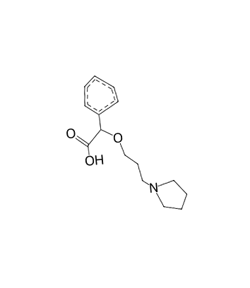 O=C(O)C(OCCCN1CCCC1)c1ccccc1